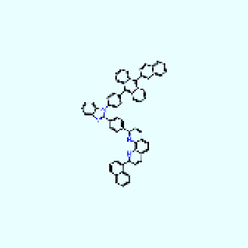 c1ccc2cc(-c3c4ccccc4c(-c4ccc(-n5c(-c6ccc(-c7ccc8ccc9ccc(-c%10cccc%11ccccc%10%11)nc9c8n7)cc6)nc6ccccc65)cc4)c4ccccc34)ccc2c1